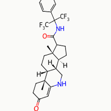 C[C@]12CCC(=O)C=C1NC[C@@H]1[C@H]2CC[C@]2(C)C(C(=O)NC(c3ccccc3)(C(F)(F)F)C(F)(F)F)CC[C@@H]12